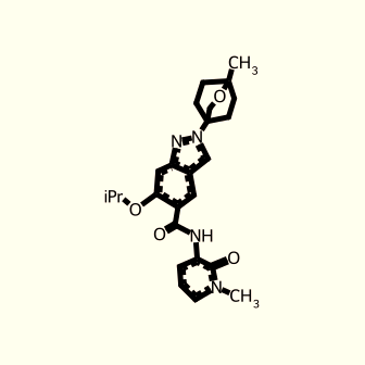 CC(C)Oc1cc2nn(C34CCC(C)(CC3)OC4)cc2cc1C(=O)Nc1cccn(C)c1=O